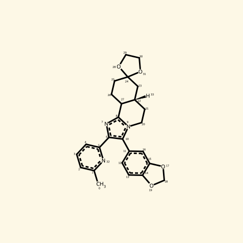 Cc1cccc(-c2nc3n(c2-c2ccc4c(c2)OCO4)CC[C@H]2CC4(CCC32)OCCO4)n1